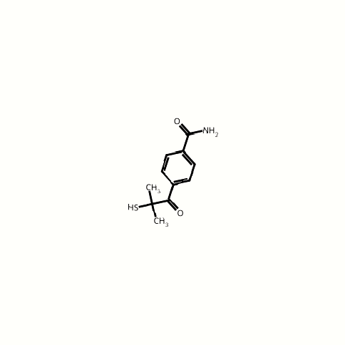 CC(C)(S)C(=O)c1ccc(C(N)=O)cc1